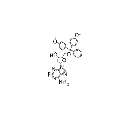 COc1ccc(C(OC[C@H]2O[C@@H](n3cnc4c(N)nc(F)nc43)C[C@@H]2O)(c2ccccc2)c2ccc(OC)cc2)cc1